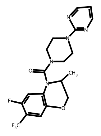 CC1COc2cc(C(F)(F)F)c(F)cc2N1C(=O)N1CCN(c2ncccn2)CC1